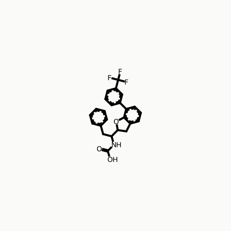 O=C(O)NC(Cc1ccccc1)C1Cc2cccc(-c3cccc(C(F)(F)F)c3)c2O1